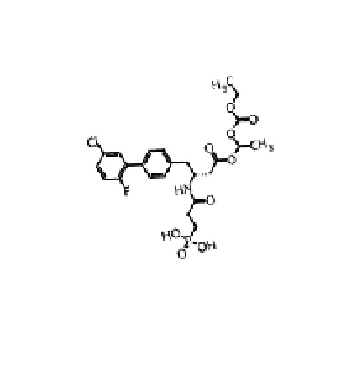 CCOC(=O)OC(C)OC(=O)C[C@@H](Cc1ccc(-c2cc(Cl)ccc2F)cc1)NC(=O)CCP(=O)(O)O